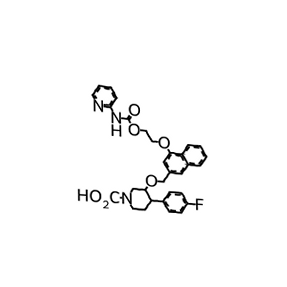 O=C(Nc1ccccn1)OCCOc1cc(COC2CN(C(=O)O)CCC2c2ccc(F)cc2)cc2ccccc12